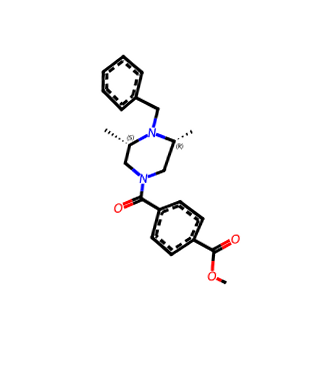 COC(=O)c1ccc(C(=O)N2C[C@@H](C)N(Cc3ccccc3)[C@@H](C)C2)cc1